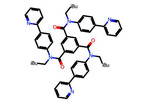 CCC(C)CN(C(=O)c1cc(C(=O)N(CC(C)CC)c2ccc(-c3ccccn3)cc2)cc(C(=O)N(CC(C)CC)c2ccc(-c3ccccn3)cc2)c1)c1ccc(-c2ccccn2)cc1